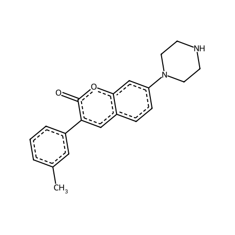 Cc1cccc(-c2cc3ccc(N4CCNCC4)cc3oc2=O)c1